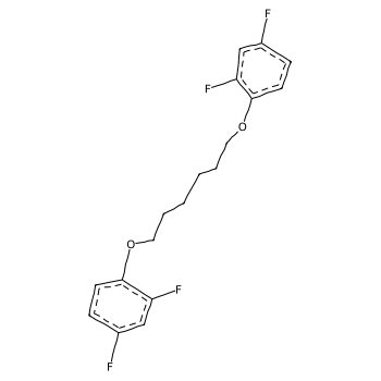 Fc1ccc(OCCCCCCOc2ccc(F)cc2F)c(F)c1